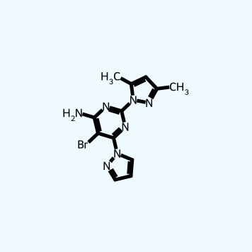 Cc1cc(C)n(-c2nc(N)c(Br)c(-n3cccn3)n2)n1